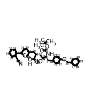 CC(C)(C)OC(=O)N[C@@H](Cc1ccc(OCc2ccccc2)cc1)[C@@H](O)C[C@@H](Cc1ccc(-c2ccccc2C#N)cc1)C(=O)O